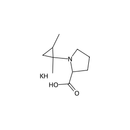 CC1CC1(C)N1CCCC1C(=O)O.[KH]